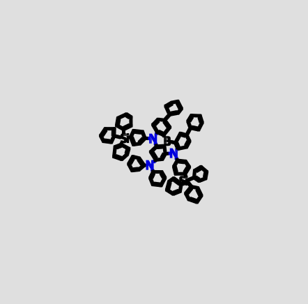 c1ccc(-c2ccc3c(c2)B2c4cc(-c5ccccc5)ccc4N(c4ccc([Si](c5ccccc5)(c5ccccc5)c5ccccc5)cc4)c4cc(N(c5ccccc5)c5ccccc5)cc(c42)N3c2ccc([Si](c3ccccc3)(c3ccccc3)c3ccccc3)cc2)cc1